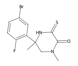 CN1CC(C)(c2cc(Br)ccc2F)NC(=S)C1=O